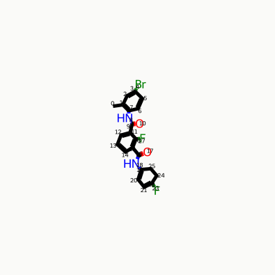 Cc1cc(Br)ccc1NC(=O)c1cccc(C(=O)NC2=CC=C(F)CC2)c1F